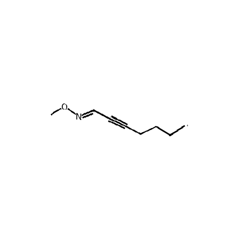 [CH2]CCCC#CC=NOC